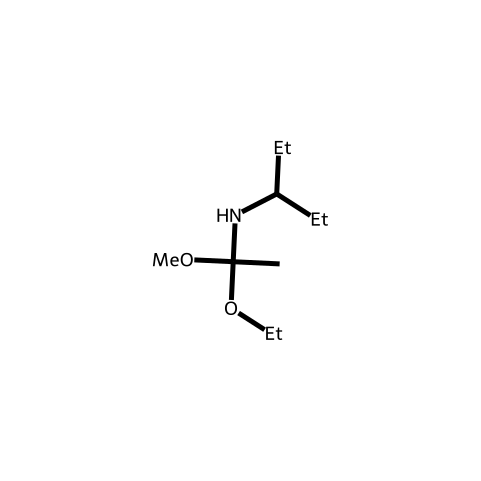 CCOC(C)(NC(CC)CC)OC